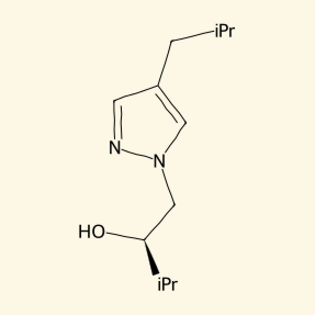 CC(C)Cc1cnn(C[C@H](O)C(C)C)c1